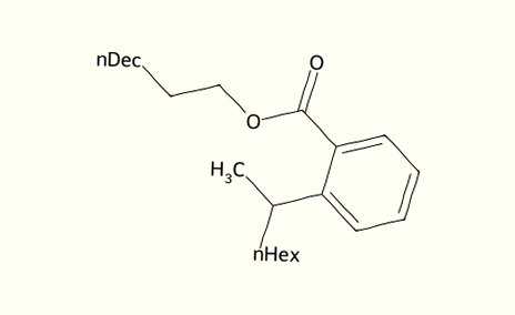 CCCCCCCCCCCCOC(=O)c1ccccc1C(C)CCCCCC